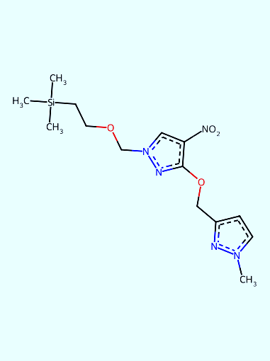 Cn1ccc(COc2nn(COCC[Si](C)(C)C)cc2[N+](=O)[O-])n1